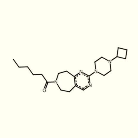 CCCCCC(=O)N1CCc2cnc(N3CCN(C4CCC4)CC3)nc2CC1